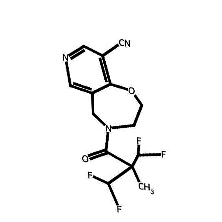 CC(C(=O)N1CCOc2c(C#N)cncc2C1)(C(F)F)C(F)F